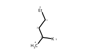 CCCC[CH](C)[K]